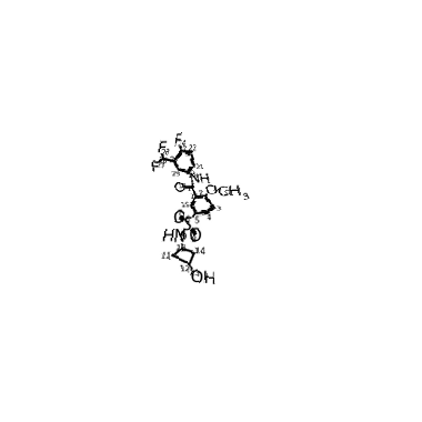 COc1ccc(S(=O)(=O)N[C@H]2C[C@H](O)C2)cc1C(=O)Nc1ccc(F)c(C(F)F)c1